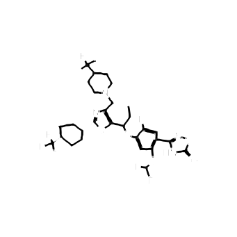 CCC(Oc1cc(OC(F)F)c(-c2noc(=O)[nH]2)cc1F)c1sc([C@H]2CC[C@H](C(F)(F)F)CC2)nc1CN1CCC(C(F)(F)F)CC1